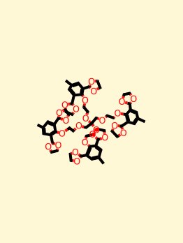 Cc1cc(C2OCCO2)c(OCCOCC(COCCOc2c(C3OCCO3)cc(C)cc2C2OCCO2)(OCCOc2c(C3OCCO3)cc(C)cc2C2OCCO2)OCCOc2c(C3OCCO3)cc(C)cc2C2OCCO2)c(C2OCCO2)c1